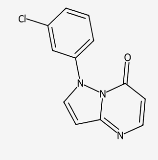 O=c1ccnc2ccn(-c3cccc(Cl)c3)n12